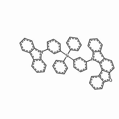 c1ccc([Si](c2ccccc2)(c2cccc(-n3c4ccccc4c4ccccc43)c2)c2cccc(-n3c4ccccc4c4ccc5oc6ccccc6c5c43)c2)cc1